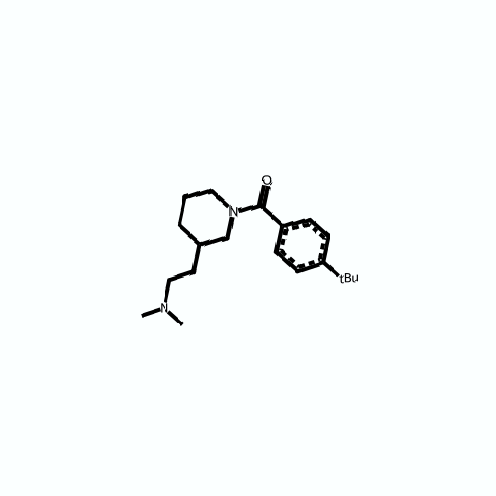 CN(C)CCC1CCCN(C(=O)c2ccc(C(C)(C)C)cc2)C1